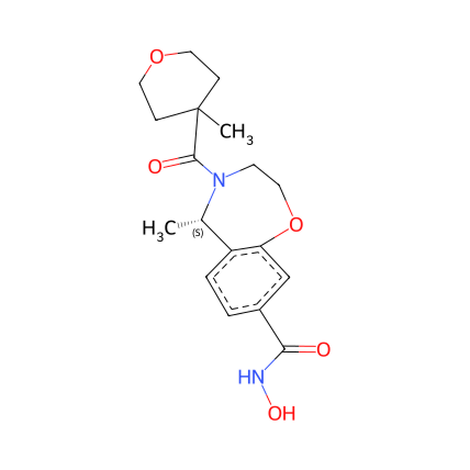 C[C@H]1c2ccc(C(=O)NO)cc2OCCN1C(=O)C1(C)CCOCC1